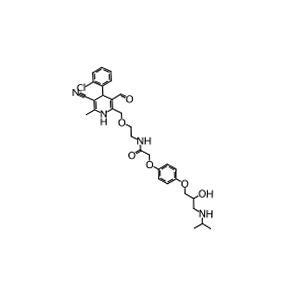 CC1=C(C#N)C(c2ccccc2Cl)C(C=O)=C(COCCNC(=O)COc2ccc(OCC(O)CNC(C)C)cc2)N1